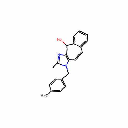 COc1ccc(Cn2c(C)nc3c2C=Cc2ccccc2C3O)cc1